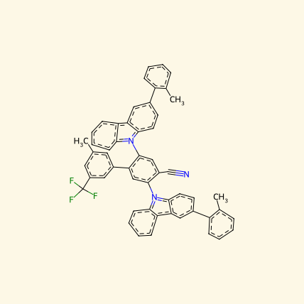 Cc1cc(-c2cc(-n3c4ccccc4c4cc(-c5ccccc5C)ccc43)c(C#N)cc2-n2c3ccccc3c3cc(-c4ccccc4C)ccc32)cc(C(F)(F)F)c1